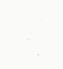 O=C(COc1cc(F)ccc1C(=O)NCc1cccc([N+](=O)[O-])c1)OC1CCCCC1